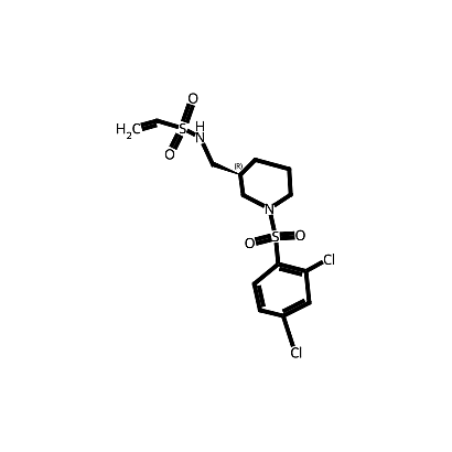 C=CS(=O)(=O)NC[C@H]1CCCN(S(=O)(=O)c2ccc(Cl)cc2Cl)C1